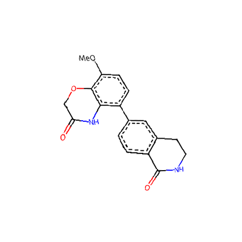 COc1ccc(-c2ccc3c(c2)CCNC3=O)c2c1OCC(=O)N2